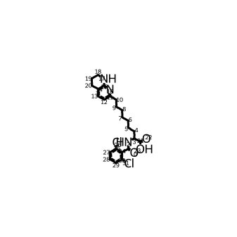 O=C(NC(CCCCCCCc1ccc2c(n1)NCCC2)C(=O)O)c1c(Cl)cccc1Cl